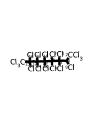 Cl[C](C(Cl)(Cl)Cl)C(Cl)(Cl)C(Cl)(Cl)C(Cl)(Cl)C(Cl)(Cl)C(Cl)(Cl)C(Cl)(Cl)Cl